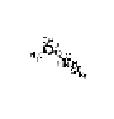 Cc1cc(C)cc(OCC(=O)Nc2ncc(Br)s2)c1